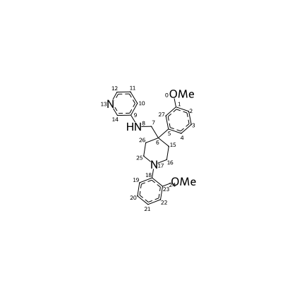 COc1cccc(C2(CNc3cccnc3)CCN(c3ccccc3OC)CC2)c1